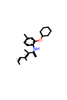 C=C(Nc1ccc(C)cc1OC1CCCCC1)/C(C)=C(C)/C=C\C